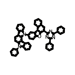 c1ccc(-c2nc(-c3ccccc3)nc(-c3cc4ccccc4c4c3oc3ccc(-n5c6ccccc6c6ccc7c(c8ccccc8n7-c7ccccc7)c65)cc34)n2)cc1